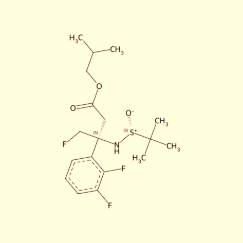 CC(C)COC(=O)C[C@](CF)(N[S@+]([O-])C(C)(C)C)c1cccc(F)c1F